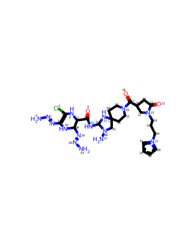 NN=NC1=C(Cl)NC(C(=O)NC2NC3(CCN(C(=O)C4CC(=O)N(CCCn5cccc5)C4)CC3)CN2N)C(N=NN)N1